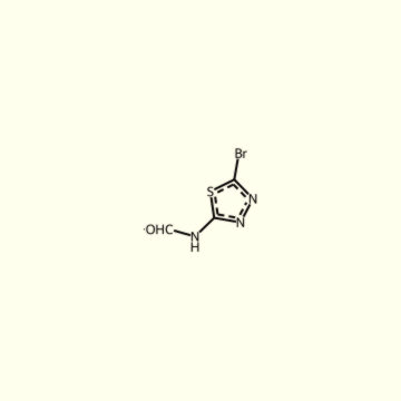 O=[C]Nc1nnc(Br)s1